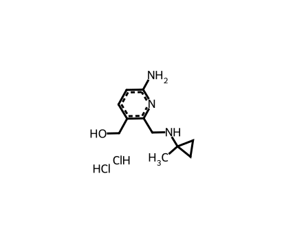 CC1(NCc2nc(N)ccc2CO)CC1.Cl.Cl